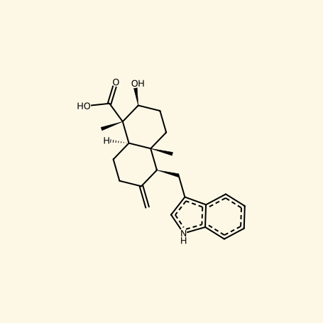 C=C1CC[C@@H]2[C@](C)(CC[C@H](O)[C@@]2(C)C(=O)O)[C@H]1Cc1c[nH]c2ccccc12